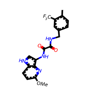 COc1ccc2[nH]cc(NC(=O)C(=O)NCc3ccc(C)c(C(F)(F)F)c3)c2n1